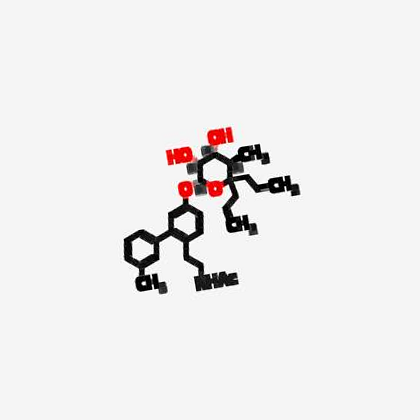 C=CCC1(CC=C)O[C@H](Oc2ccc(CCNC(C)=O)c(-c3cccc(C)c3)c2)[C@H](O)[C@H](O)[C@H]1C